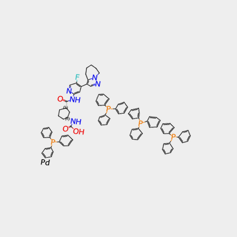 O=C(O)N[C@@H]1CCC[C@H](C(=O)Nc2cc(-c3cnn4c3CCCCC4)c(F)cn2)C1.[Pd].c1ccc(P(c2ccccc2)c2ccccc2)cc1.c1ccc(P(c2ccccc2)c2ccccc2)cc1.c1ccc(P(c2ccccc2)c2ccccc2)cc1.c1ccc(P(c2ccccc2)c2ccccc2)cc1